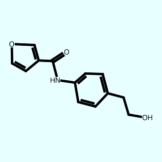 O=C(Nc1ccc(CCO)cc1)c1ccoc1